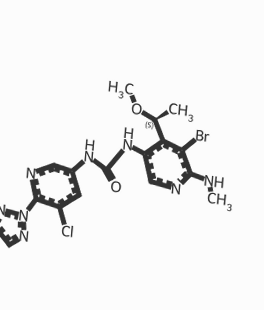 CNc1ncc(NC(=O)Nc2cnc(-n3nccn3)c(Cl)c2)c([C@H](C)OC)c1Br